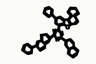 c1ccc(-c2ccc3cc(-c4nc(-c5ccc6ccccc6c5)nc(-c5cc(-c6ccccc6)cc6c5oc5ccc7ccccc7c56)n4)ccc3c2)cc1